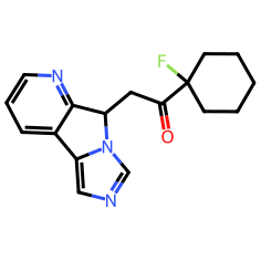 O=C(CC1c2ncccc2-c2cncn21)C1(F)CCCCC1